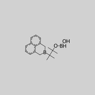 CC(C)(OBO)C(C)(C)B1Cc2cccc3cccc(c23)C1